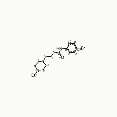 CCN1CCC(CCNC(=O)Nc2ccc(Br)cn2)CC1